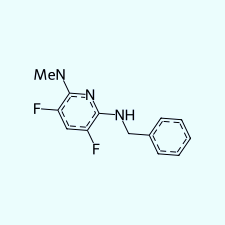 CNc1nc(NCc2ccccc2)c(F)cc1F